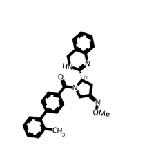 CON=C1C[C@@H](C2=Nc3ccccc3CN2)N(C(=O)c2ccc(-c3ccccc3C)cc2)C1